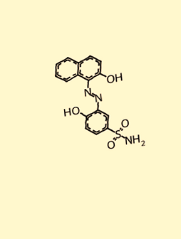 NS(=O)(=O)c1ccc(O)c(N=Nc2c(O)ccc3ccccc23)c1